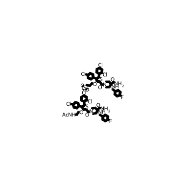 CC(=O)NCCOc1c(C(=O)N2CCC(NCc3ccc(F)cc3)(C(N)=O)CC2)sc(-c2ccc(Cl)cc2Cl)c1-c1ccc(Cl)cc1.CS(=O)(=O)CCCOc1c(C(=O)N2CCC(NCc3ccc(F)cc3)(C(N)=O)CC2)sc(-c2ccc(Cl)cc2Cl)c1-c1ccc(Cl)cc1